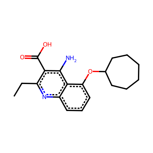 CCc1nc2cccc(OC3CCCCCC3)c2c(N)c1C(=O)O